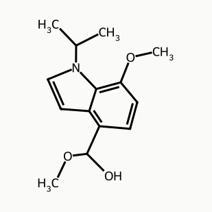 COc1ccc(C(O)OC)c2ccn(C(C)C)c12